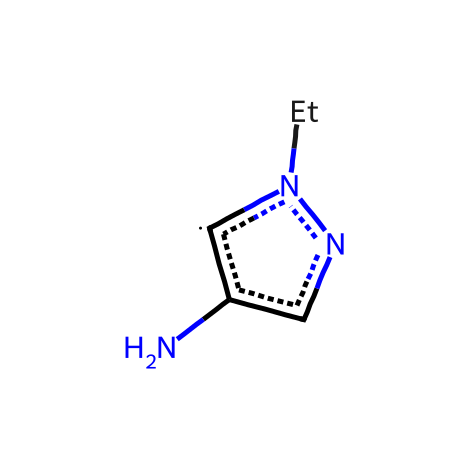 CCn1[c]c(N)cn1